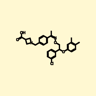 CC(=NOCC(Oc1ccc(C)c(C)c1)c1cccc(Cl)c1)c1ccc(CN2CC(C(=O)O)C2)cc1